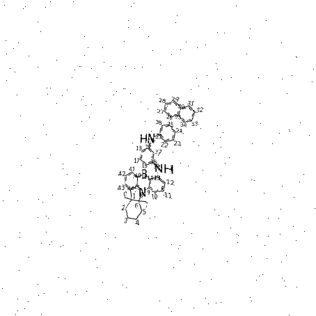 CC12CCCCC1(C)N1c3cccc4c3B(c3ccc(Nc5cccc(-c6cccc7ccccc67)c5)cc3N4)c3cccc2c31